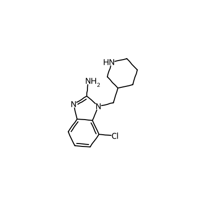 Nc1nc2cccc(Cl)c2n1CC1CCCNC1